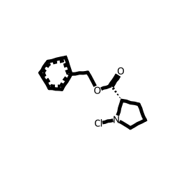 O=C(OCc1ccccc1)[C@@H]1CCCN1Cl